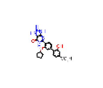 O=C(O)c1ccc(-c2ccc(-c3nc4c(c(=O)[nH]3)NNN4)c(OC3CCCC3)c2)c(O)c1